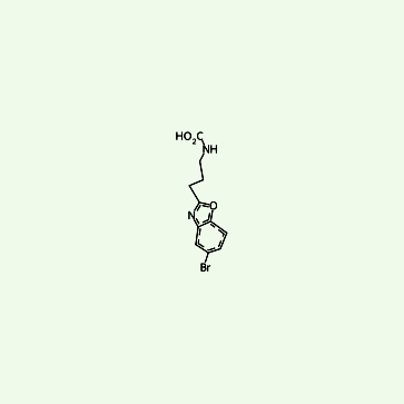 O=C(O)NCCCc1nc2cc(Br)ccc2o1